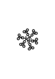 C1=C(c2c(-c3ccc(-n4c5ccccc5c5ccccc54)cc3)sc3c2c2sc(-c4ccc(-n5c6ccccc6c6ccccc65)cc4)c(-c4ccc(-n5c6ccccc6c6ccccc65)cc4)c2c2sc(-c4ccc(-n5c6ccccc6c6ccccc65)cc4)c(-c4ccc(-n5c6ccccc6c6ccccc65)cc4)c32)CCC(n2c3ccccc3c3ccccc32)=C1